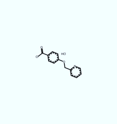 Cl.O=C(Cl)c1ccc(OCc2ccccn2)cc1